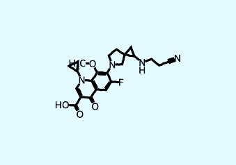 COc1c(N2CCC3(CC3NCCC#N)C2)c(F)cc2c(=O)c(C(=O)O)cn(C3CC3)c12